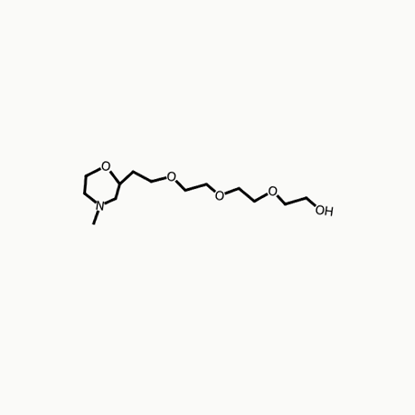 CN1CCOC(CCOCCOCCOCCO)C1